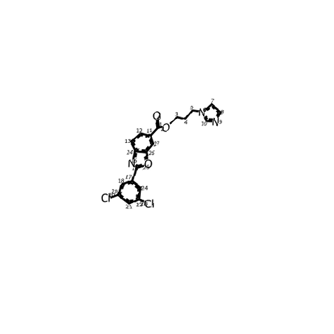 O=C(OCCCn1ccnc1)c1ccc2nc(-c3cc(Cl)cc(Cl)c3)oc2c1